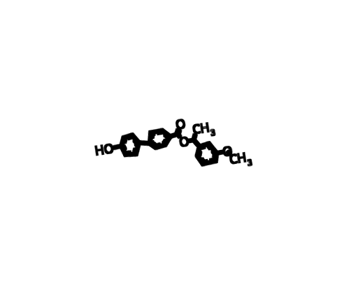 COc1cccc(C(C)OC(=O)c2ccc(-c3ccc(O)cc3)cc2)c1